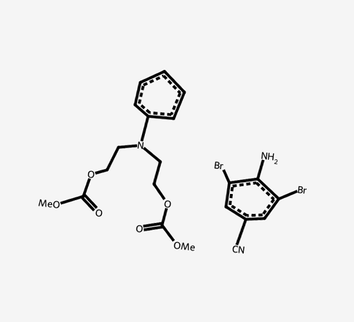 COC(=O)OCCN(CCOC(=O)OC)c1ccccc1.N#Cc1cc(Br)c(N)c(Br)c1